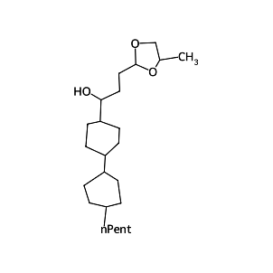 CCCCCC1CCC(C2CCC(C(O)CCC3OCC(C)O3)CC2)CC1